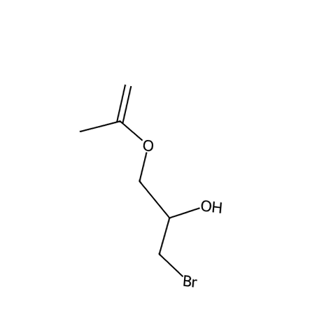 C=C(C)OCC(O)CBr